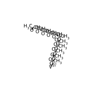 CC(=O)[O-].CC(=O)[O-].CC(=O)[O-].CC(=O)[O-].CC(=O)[O-].CC(=O)[O-].CC(=O)[O-].CC(=O)[O-].CC(=O)[O-].CC(=O)[O-].CC(C)=O.[V+5].[V+5]